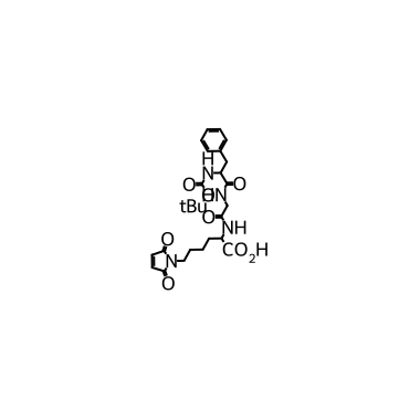 CC(C)(C)OC(=O)NC(Cc1ccccc1)C(=O)NCC(=O)NC(CCCCN1C(=O)C=CC1=O)C(=O)O